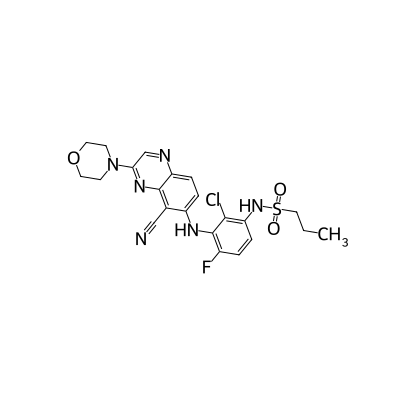 CCCS(=O)(=O)Nc1ccc(F)c(Nc2ccc3ncc(N4CCOCC4)nc3c2C#N)c1Cl